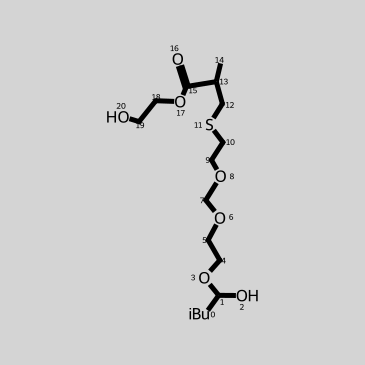 CCC(C)C(O)OCCOCOCCSCC(C)C(=O)OCCO